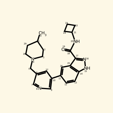 CC1CCN(Cc2cncc(-c3ccc4[nH]nc(C(=O)NC5CCC5)c4c3)c2)CC1